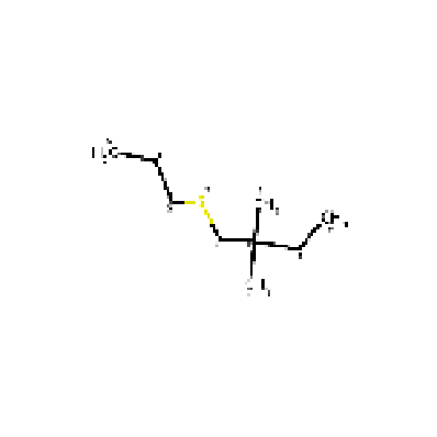 [CH2]CCSCC(C)(C)CC